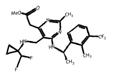 COC(=O)Cc1nc(C)nc(N[C@H](C)c2cccc(C(F)(F)F)c2C)c1CNC1(C(F)F)CC1